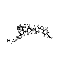 C#Cc1ccc(OC2CCN(c3ccc(-c4cc(OCCN)cn5ncc(C#N)c45)cn3)CC2)cn1